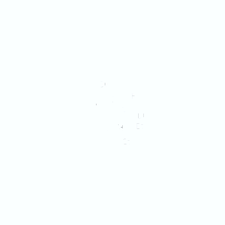 CC[Si]1(CC)CC(C)O[Si](CC)(CC)[Si]1(CC)CC